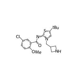 COc1ccc(Cl)cc1C(=O)N=c1sc(C(C)(C)C)cn1CC1CNC1